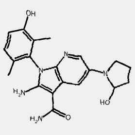 Cc1ccc(O)c(C)c1-n1c(N)c(C(N)=O)c2cc(N3CCCC3O)cnc21